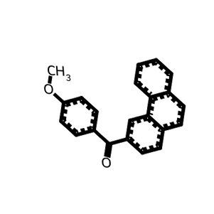 COc1ccc(C(=O)c2ccc3ccc4ccccc4c3c2)cc1